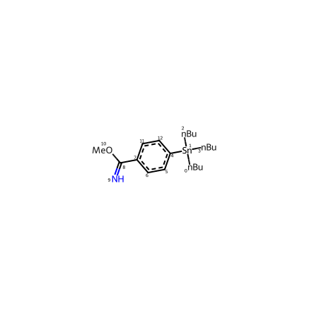 CCC[CH2][Sn]([CH2]CCC)([CH2]CCC)[c]1ccc(C(=N)OC)cc1